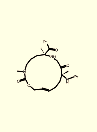 CC(C)N[C@]1(C)CC/C=C/COC(=O)N(C)CCC[C@@](C)(C(=O)C(C)C)NCC1=O